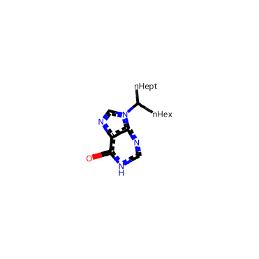 CCCCCCCC(CCCCCC)n1cnc2c(=O)[nH]cnc21